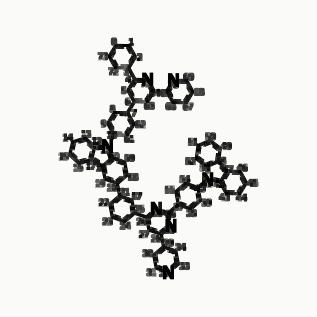 c1ccc(-c2cc(-c3ccc(-n4c5ccccc5c5cc(-c6cccc(-c7cc(-c8ccncc8)nc(-c8ccc(-n9c%10ccccc%10c%10ccccc%109)cc8)n7)c6)ccc54)cc3)cc(-c3ccccn3)n2)cc1